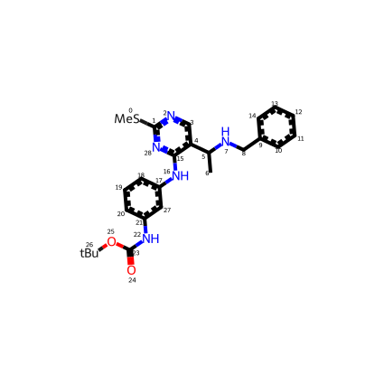 CSc1ncc(C(C)NCc2ccccc2)c(Nc2cccc(NC(=O)OC(C)(C)C)c2)n1